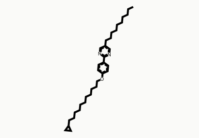 CCCCCCCCCCc1cnc(-c2ccc(OCCCCCCCCCCCC3CC3)cc2)nc1